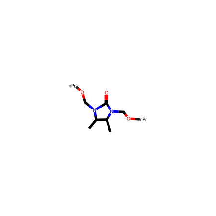 CCCOCN1C(=O)N(COCCC)C(C)C1C